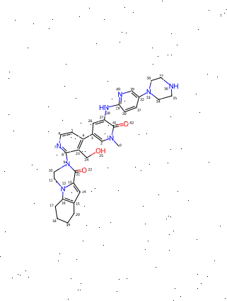 Cn1cc(-c2ccnc(N3CCn4c(cc5c4CCCC5)C3=O)c2CO)cc(Nc2ccc(N3CCNCC3)cn2)c1=O